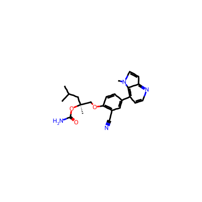 CC(C)C[C@@](C)(COc1ccc(-c2ccnc3ccn(C)c23)cc1C#N)OC(N)=O